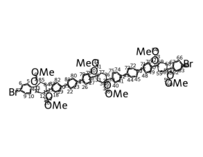 COCOC1(c2ccc(Br)cc2)CCC(OCOC)(c2ccc(-c3ccc(-c4ccc(C5(OCOC)CCC(OCOC)(c6ccc(-c7ccc(-c8ccc(C9(OCOC)CCC(OCOC)(c%10ccc(Br)cc%10)CC9)cc8)cc7)cc6)CC5)cc4)cc3)cc2)CC1